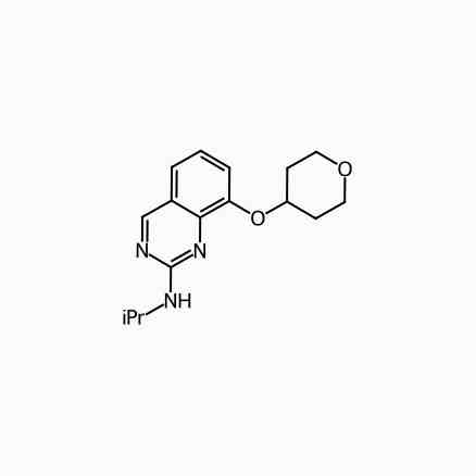 CC(C)Nc1ncc2cccc(OC3CCOCC3)c2n1